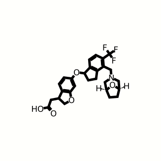 O=C(O)CC1COc2cc(OC3CCc4c3ccc(C(F)(F)F)c4CN3C[C@H]4CC[C@@H](C3)O4)ccc21